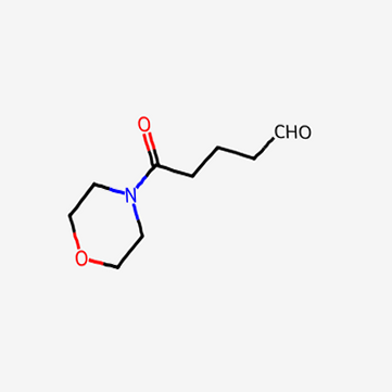 O=CCCCC(=O)N1CCOCC1